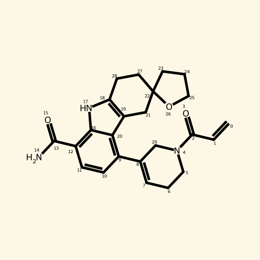 C=CC(=O)N1CCC=C(c2ccc(C(N)=O)c3[nH]c4c(c23)CC2(CCCO2)CC4)C1